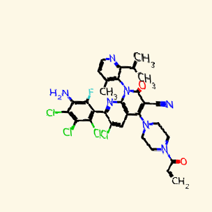 C=CC(=O)N1CCN(c2c(C#N)c(=O)n(-c3c(C)ccnc3C(C)C)c3nc(-c4c(F)c(N)c(Cl)c(Cl)c4Cl)c(Cl)cc23)CC1